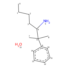 CCCCC(N)C(C)(C)c1ccccc1.O